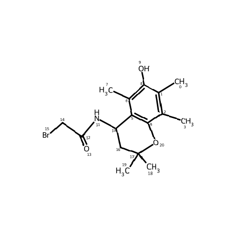 Cc1c(C)c2c(c(C)c1O)C(NC(=O)CBr)CC(C)(C)O2